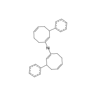 C1=CCC(c2ccccc2)C=[C]([Ni][C]2=CC(c3ccccc3)CC=CCC2)CC1